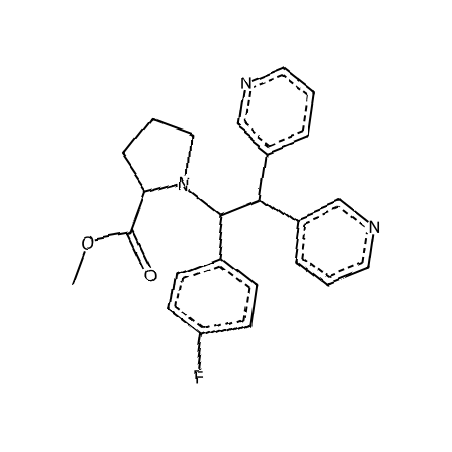 COC(=O)C1CCCN1C(c1ccc(F)cc1)C(c1cccnc1)c1cccnc1